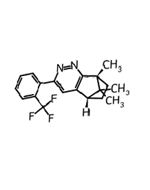 CC1(C)[C@@H]2CC[C@@]1(C)c1nnc(-c3ccccc3C(F)(F)F)cc12